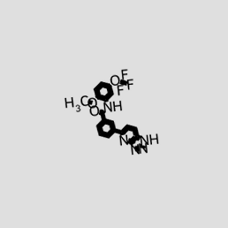 COc1ccc(OC(F)(F)F)cc1NC(=O)c1cccc(-c2ccc3[nH]nnc3n2)c1